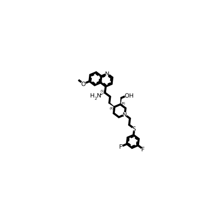 COc1ccc2nccc([C@@H](N)CC[C@@H]3CCN(CCSc4cc(F)cc(F)c4)C[C@@H]3CO)c2c1